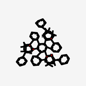 CC1(C)OB(c2c(-c3ccccc3-c3ccc(-c4ccccc4)nc3)c(B3OC(C)(C)C(C)(C)O3)c(-c3ccccc3-c3ccc(-c4ccccc4)nc3)c(B3OC(C)(C)C(C)(C)O3)c2-c2ccccc2-c2ccc(-c3ccccc3)nc2)OC1(C)C